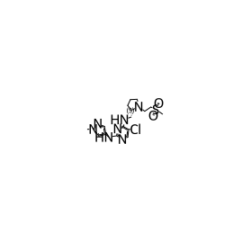 Cn1cc(Nc2ncc(Cl)c(NC[C@@H]3CCCN3CCS(C)(=O)=O)n2)cn1